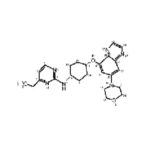 CCc1ccnc(N[C@H]2CC[C@@H](Oc3cc(N4CCOCC4)cc4nccnc34)CC2)n1